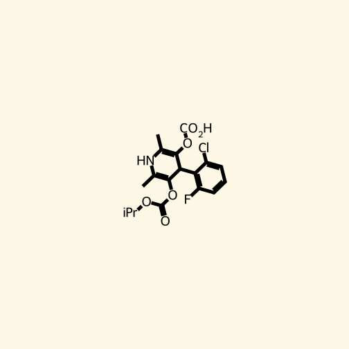 CC1=C(OC(=O)O)C(c2c(F)cccc2Cl)C(OC(=O)OC(C)C)=C(C)N1